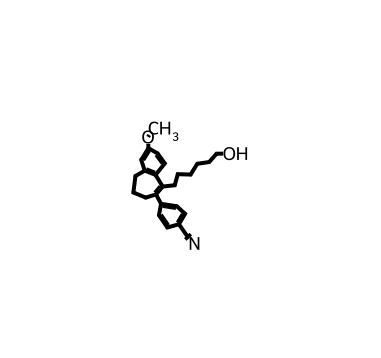 COc1ccc2c(c1)CCCC(c1ccc(C#N)cc1)=C2CCCCCCO